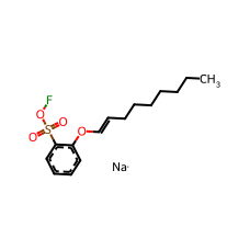 CCCCCCCC=COc1ccccc1S(=O)(=O)OF.[Na]